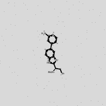 CN[C@H](CC(C)C)c1nc2cc(-c3ccnc(N)c3)ccc2[nH]1